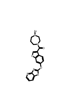 CC(=O)N1CCCN(C(=O)c2coc3cc(Oc4nc5ncccc5s4)ccc23)CC1